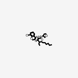 CCCCCCCC(CC)c1nc(C)c(-c2cccc(Cl)c2Cl)nc1C(=O)NC1CCOC1